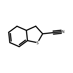 N#CC1CC2CC=CC=C2S1